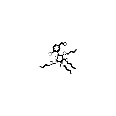 CCCCOC[C@H]1O[C@@H](c2cc(C=O)ccc2Cl)[C@H](OCCCC)[C@@H](OCCCC)[C@@H]1OCCCC